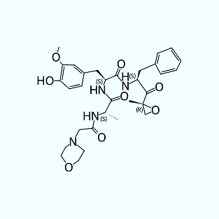 COc1cc(C[C@H](NC(=O)[C@H](C)NC(=O)CN2CCOCC2)C(=O)N[C@@H](Cc2ccccc2)C(=O)[C@@]2(C)CO2)ccc1O